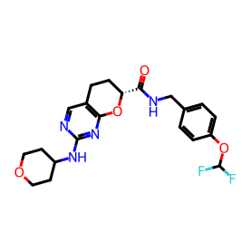 O=C(NCc1ccc(OC(F)F)cc1)[C@H]1CCc2cnc(NC3CCOCC3)nc2O1